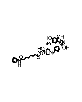 CC(C)c1cc(-c2nnc(O)n2-c2ccc(CN3CCN(C(=O)ONC(=O)CCCCCCC(=O)Nc4ccccc4)CC3)cc2)c(O)cc1O